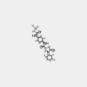 Cc1ccc(C)c(N2CC(C(=O)Nc3ccc(NC(=O)CC(C)C)cc3)CC2=O)c1